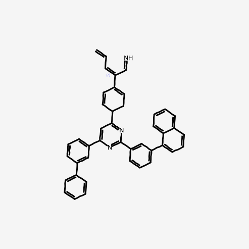 C=C/C=C(\C=N)C1=CCC(c2cc(-c3cccc(-c4ccccc4)c3)nc(-c3cccc(-c4cccc5ccccc45)c3)n2)C=C1